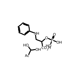 CC(=O)C(O)O.O=C(O)C(CNc1ccccc1)OP(=O)(O)O